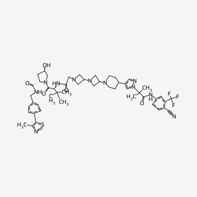 Cc1ncsc1-c1ccc(CNC(=O)[C@@H]2C[C@@H](O)CN2C(=O)[C@@H](NC(=O)CN2CC(N3CC(N4CCC(c5cnn(C(C)(C)C(=O)Nc6ccc(C#N)c(C(F)(F)F)c6)c5)CC4)C3)C2)C(C)(C)C)cc1